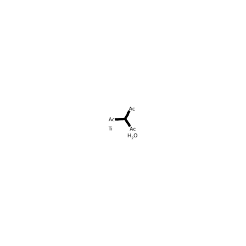 CC(=O)C(C(C)=O)C(C)=O.O.[Ti]